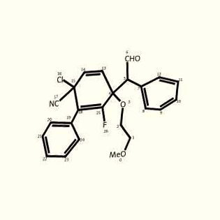 COCCOC1(C(C=O)c2ccccc2)C=CC(Cl)(C#N)C(c2ccccc2)=C1F